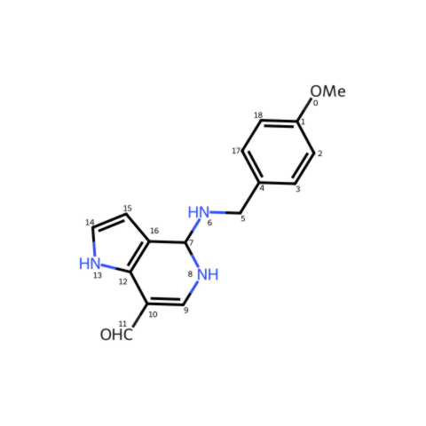 COc1ccc(CNC2NC=C(C=O)c3[nH]ccc32)cc1